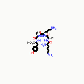 CC(C)C[C@H](NC(=O)[C@H](CCCCN)NC(=O)[C@@H](NC(=O)[C@@H](N)CCCCN)C(C)C)C(=O)N[C@@H](Cc1ccc(O)cc1)C(=O)O